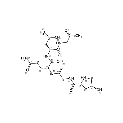 CC(=O)CNC(=O)[C@H](CC(C)C)NC(=O)[C@@H](CCC(N)=O)NC(=O)CNC(=O)[C@H]1C[C@H](O)CN1